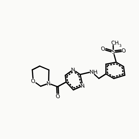 CS(=O)(=O)c1cccc(CNc2ncc(C(=O)N3CCCOC3)cn2)c1